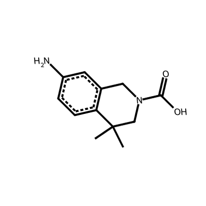 CC1(C)CN(C(=O)O)Cc2cc(N)ccc21